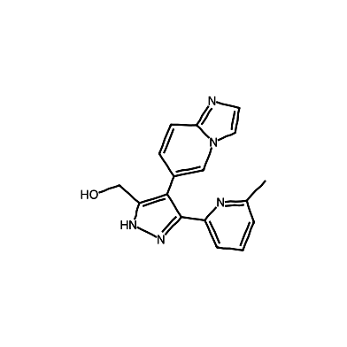 Cc1cccc(-c2n[nH]c(CO)c2-c2ccc3nccn3c2)n1